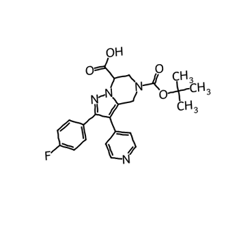 CC(C)(C)OC(=O)N1Cc2c(-c3ccncc3)c(-c3ccc(F)cc3)nn2C(C(=O)O)C1